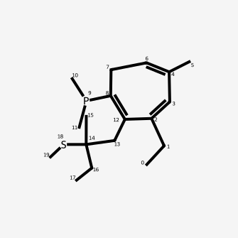 CCC1=CC(C)=CCC(P(C)C)=C1CC(C)(CC)SC